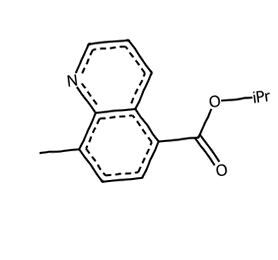 Cc1ccc(C(=O)OC(C)C)c2cccnc12